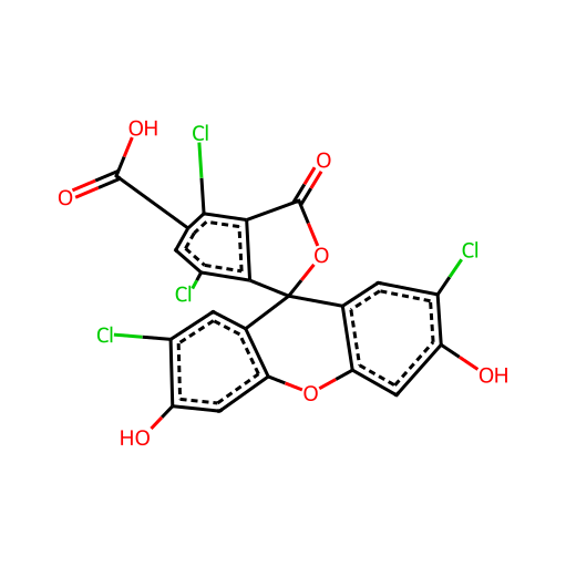 O=C(O)c1cc(Cl)c2c(c1Cl)C(=O)OC21c2cc(Cl)c(O)cc2Oc2cc(O)c(Cl)cc21